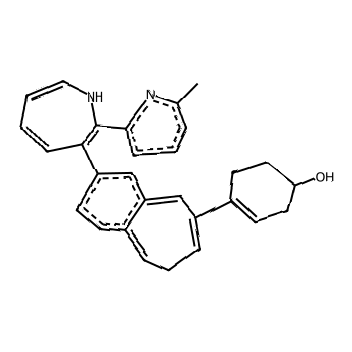 Cc1cccc(C2=C(c3ccc4c(c3)=CC(C3=CCC(O)CC3)=CCC=4)C=CC=CN2)n1